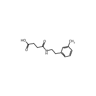 Cc1cccc(CCNC(=O)CCC(=O)O)c1